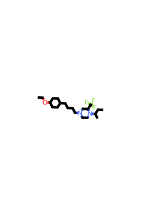 CCOC1CCC(CCCCN2CCN(C(C)CC)C(C(F)(F)F)C2)CC1